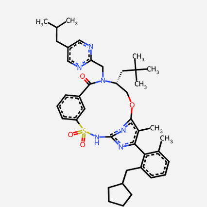 Cc1cccc(CC2CCCC2)c1-c1nc2nc(c1C)OC[C@@H](CC(C)(C)C)N(Cc1ncc(CC(C)C)cn1)C(=O)c1cccc(c1)S(=O)(=O)N2